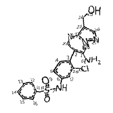 Nc1c(-c2ccc(NS(=O)(=O)c3ccccc3)cc2Cl)cnc2c(CO)cnn12